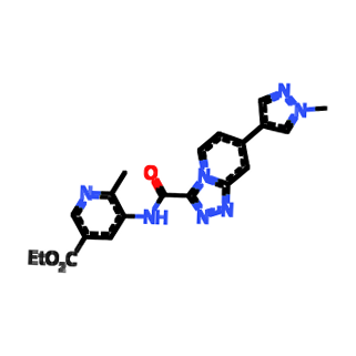 CCOC(=O)c1cnc(C)c(NC(=O)c2nnc3cc(-c4cnn(C)c4)ccn23)c1